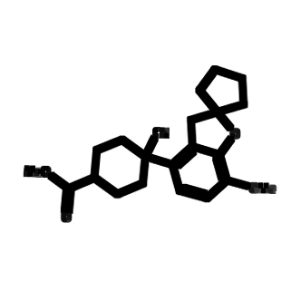 COC(=O)C1CCC(C#N)(c2ccc(OC)c3c2CC2(CCCC2)O3)CC1